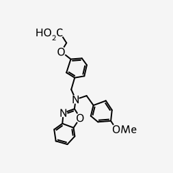 COc1ccc(CN(Cc2cccc(OCC(=O)O)c2)c2nc3ccccc3o2)cc1